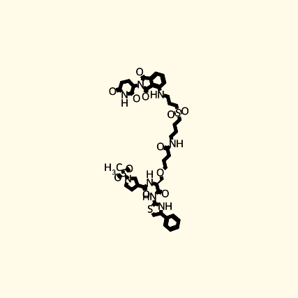 CS(=O)(=O)N1CCC(C(=O)N[C@@H](COCCCC(=O)NCCCCS(=O)(=O)CCCNc2cccc3c2C(=O)N(C2CCC(=O)NC2=O)C3=O)C(=O)NC2NC(c3ccccc3)CS2)C1